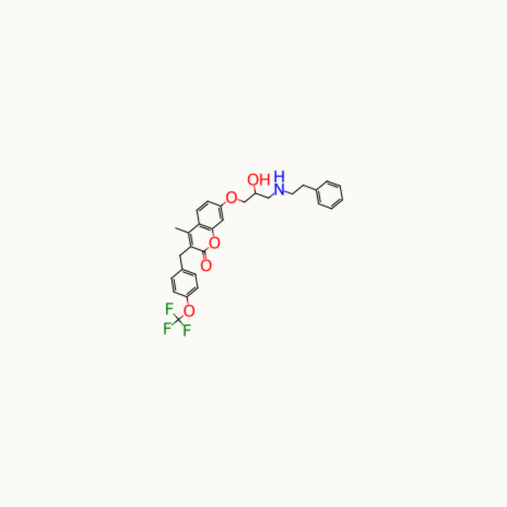 Cc1c(Cc2ccc(OC(F)(F)F)cc2)c(=O)oc2cc(OCC(O)CNCCc3ccccc3)ccc12